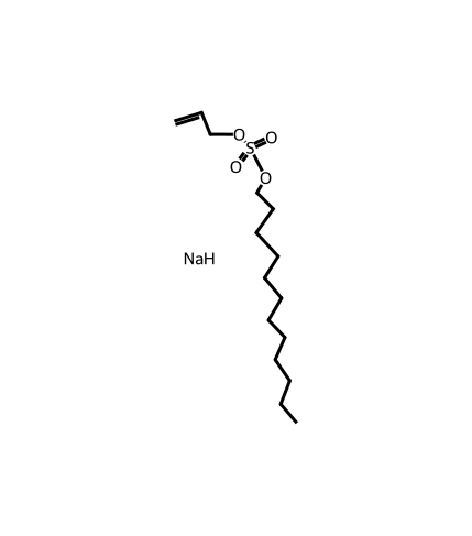 C=CCOS(=O)(=O)OCCCCCCCCCCCC.[NaH]